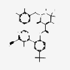 Cc1c(C#N)ncnc1-c1cc(C(F)(F)I)ccc1NC(=O)C1=C(O)C(C)(C)N(C)N(Cc2cccc(F)c2F)C1=O